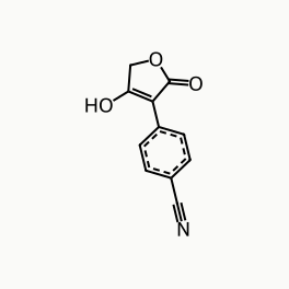 N#Cc1ccc(C2=C(O)COC2=O)cc1